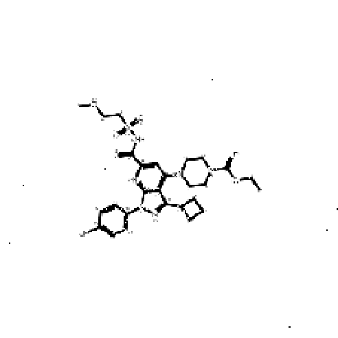 CCOC(=O)N1CCN(c2cc(C(=O)NS(=O)(=O)CCOC)nc3c2c(C2CCC2)nn3-c2ccc(F)cc2)CC1